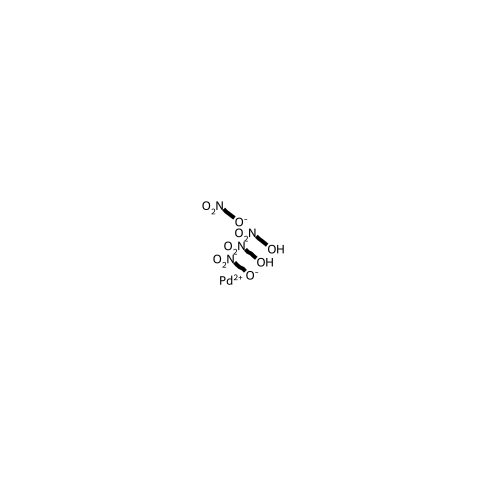 O=[N+]([O-])O.O=[N+]([O-])O.O=[N+]([O-])[O-].O=[N+]([O-])[O-].[Pd+2]